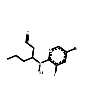 CCCC(CC=O)N(O)c1ncc(Br)cc1F